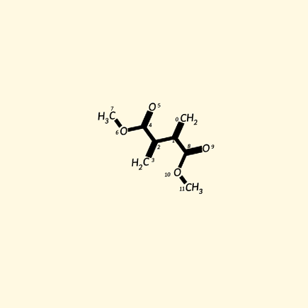 C=C(C(=C)C(=O)OC)C(=O)OC